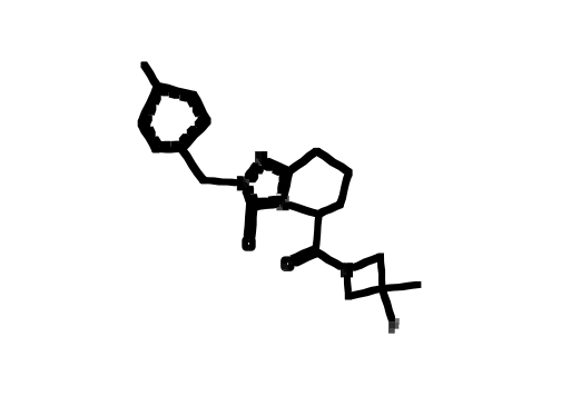 Cc1ccc(Cn2nc3n(c2=O)C(C(=O)N2CC(C)(F)C2)CCC3)cc1